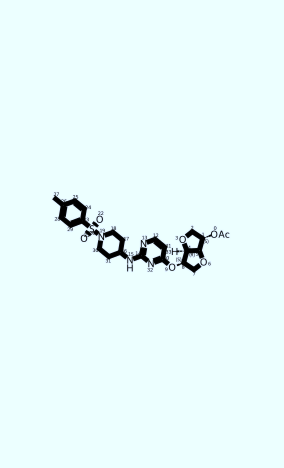 CC(=O)O[C@H]1CO[C@H]2C1OC[C@@H]2Oc1ccnc(NC2CCN(S(=O)(=O)c3ccc(C)cc3)CC2)n1